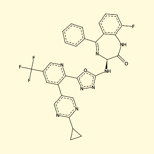 O=C1Nc2c(F)cccc2C(c2ccccc2)=N[C@@H]1Nc1nnc(-c2ncc(C(F)(F)F)cc2-c2cnc(C3CC3)nc2)o1